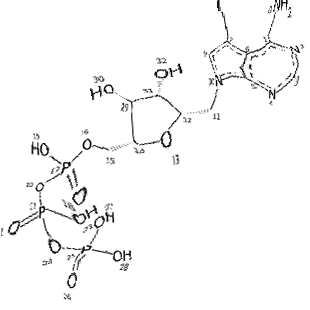 Nc1ncnc2c1c(I)cn2C[C@@H]1O[C@H](COP(=O)(O)OP(=O)(O)OP(=O)(O)O)C(O)[C@@H]1O